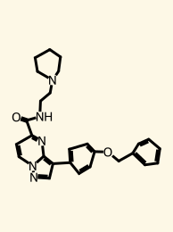 O=C(NCCN1CCCCC1)c1ccn2ncc(-c3ccc(OCc4ccccc4)cc3)c2n1